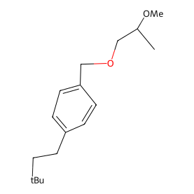 COC(C)COCc1ccc(CCC(C)(C)C)cc1